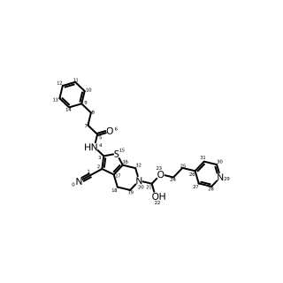 N#Cc1c(NC(=O)CCc2ccccc2)sc2c1CCN(C(O)OCCc1ccncc1)C2